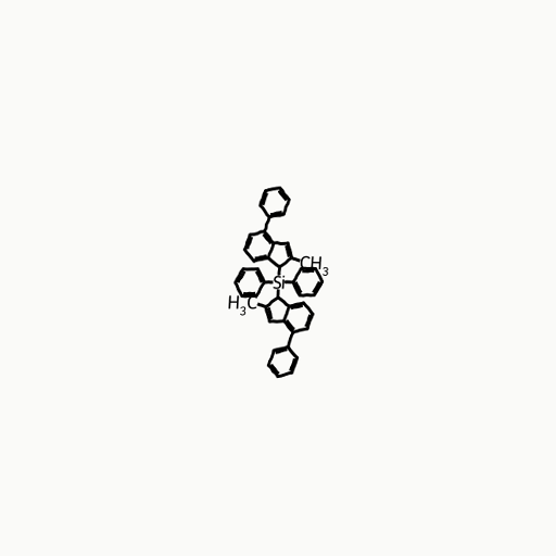 CC1=Cc2c(-c3ccccc3)cccc2C1[Si](c1ccccc1)(c1ccccc1)C1C(C)=Cc2c(-c3ccccc3)cccc21